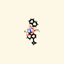 COc1ccc(C2CCC2)c2c1C(C)(C(=O)NS(=O)(=O)c1cccc3ccccc13)OCC2